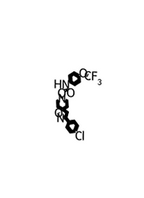 O=C(Nc1ccc(OC(F)(F)F)cc1)ON1CCC2(CC1)CC(c1ccc(Cl)cc1)=NO2